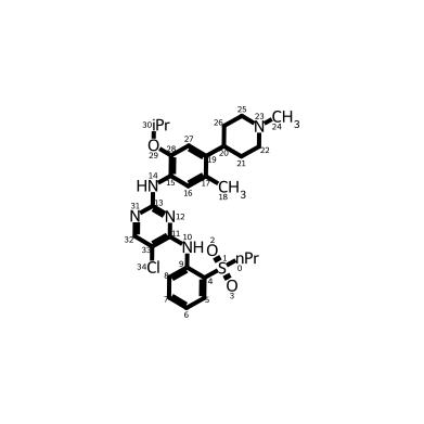 CCCS(=O)(=O)c1ccccc1Nc1nc(Nc2cc(C)c(C3CCN(C)CC3)cc2OC(C)C)ncc1Cl